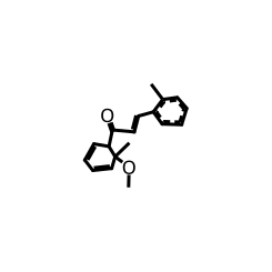 COC1(C)C=CC=CC1C(=O)/C=C/c1ccccc1C